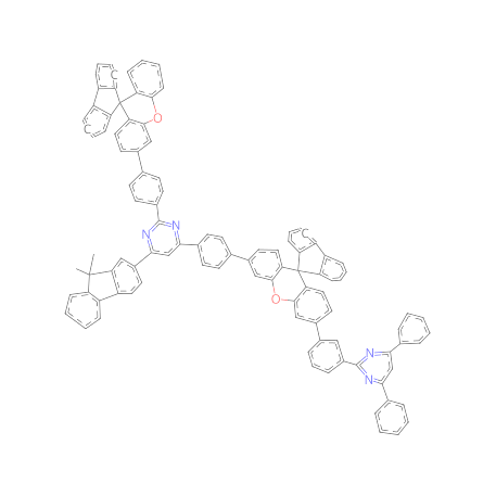 CC1(C)c2ccccc2-c2ccc(-c3cc(-c4ccc(-c5ccc6c(c5)Oc5cc(-c7cccc(-c8nc(-c9ccccc9)cc(-c9ccccc9)n8)c7)ccc5C65c6ccccc6-c6ccccc65)cc4)nc(-c4ccc(-c5ccc6c(c5)Oc5ccccc5C65c6ccccc6-c6ccccc65)cc4)n3)cc21